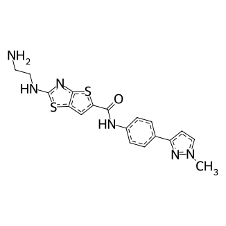 Cn1ccc(-c2ccc(NC(=O)c3cc4sc(NCCN)nc4s3)cc2)n1